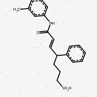 Cc1cccc(NC(=O)C=CC(CCCS(=O)(=O)O)c2ccccc2)c1